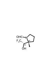 C[C@]1([C@H](O)C(F)(F)F)CCCN1C=O